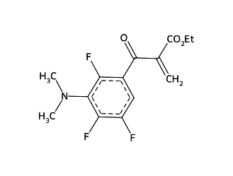 C=C(C(=O)OCC)C(=O)c1cc(F)c(F)c(N(C)C)c1F